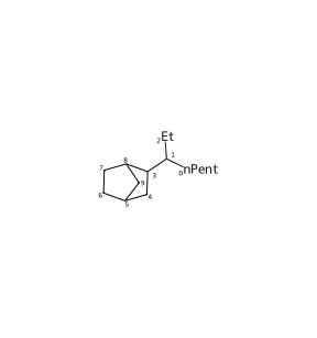 CCCCCC(CC)C1CC2CCC1C2